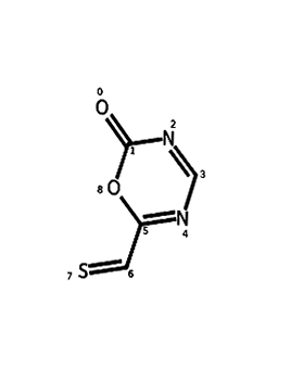 O=c1ncnc(C=S)o1